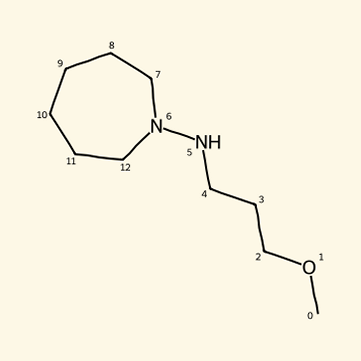 COCCCNN1CCCCCC1